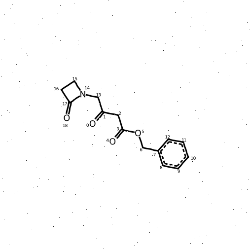 O=C(CC(=O)OCc1ccccc1)CN1CCC1=O